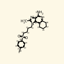 Cc1nc2c(N)nc3c(c2n1CCCCS(=O)(=O)c1ccc(F)cc1)CCCC3